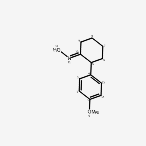 COc1ccc(C2CCCCC2=NO)cc1